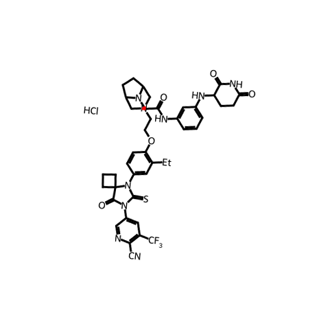 CCc1cc(N2C(=S)N(c3cnc(C#N)c(C(F)(F)F)c3)C(=O)C23CCC3)ccc1OCCN1CC2CCC(C1)N2CC(=O)Nc1cccc(NC2CCC(=O)NC2=O)c1.Cl